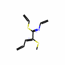 C=C/C=C(SC)/C(=N/C=C)SC=C